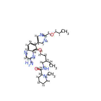 CCCOCc1ncc(-c2ccc3ncc(N)nc3c2OCCC(CC)CNC(=O)C2CCCCN2C)cn1